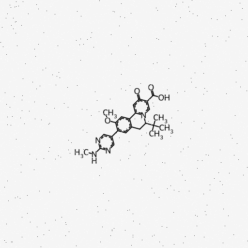 CNc1ncc(-c2cc3c(cc2OC)-c2cc(=O)c(C(=O)O)cn2C(C(C)(C)C)C3)cn1